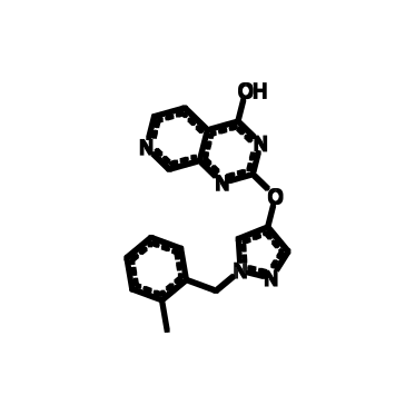 Cc1ccccc1Cn1cc(Oc2nc(O)c3ccncc3n2)cn1